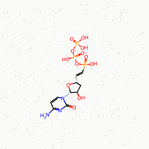 Nc1ccn([C@@H]2O[C@H](/C=C/P(=O)(O)OP(=O)(O)OP(=O)(O)O)C[C@H]2O)c(=O)n1